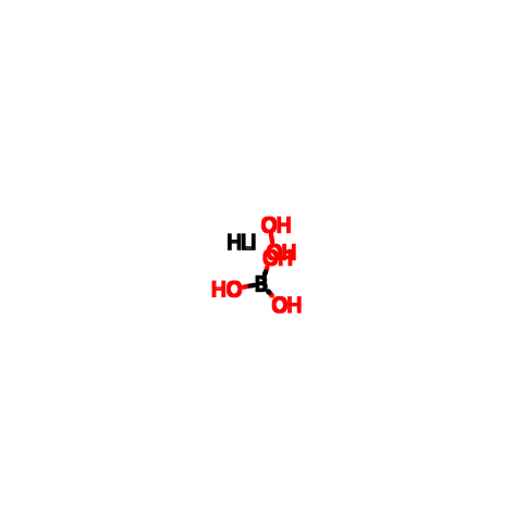 OB(O)O.OO.[LiH]